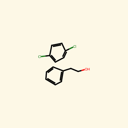 Clc1ccc(Cl)cc1.OCCc1ccccc1